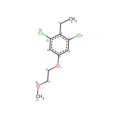 CCc1c(Cl)cc(OCCOC)cc1Cl